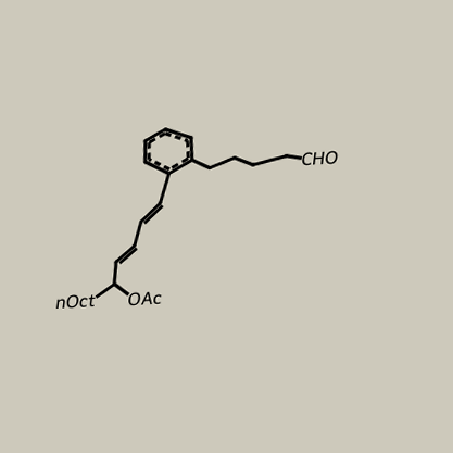 CCCCCCCCC(C=CC=Cc1ccccc1CCCCC=O)OC(C)=O